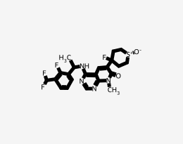 CC(Nc1ncnc2c1cc(C1(F)CC[S+]([O-])CC1)c(=O)n2C)c1cccc(C(F)F)c1F